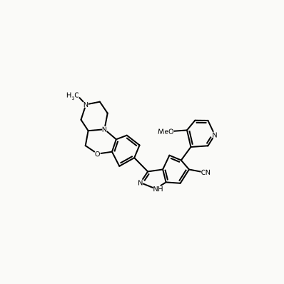 COc1ccncc1-c1cc2c(-c3ccc4c(c3)OCC3CN(C)CCN43)n[nH]c2cc1C#N